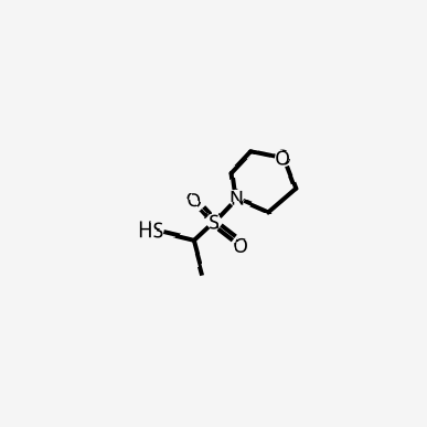 CC(S)S(=O)(=O)N1CCOCC1